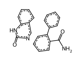 NC(=O)c1ccccc1-c1ccccc1.O=c1ncc2ccccc2[nH]1